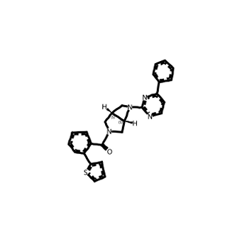 O=C(c1ccccc1-c1cccs1)N1C[C@@H]2CN(c3nccc(-c4ccccc4)n3)[C@@H]2C1